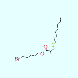 CCCCCCCCSCC(C)C(=O)OCCCCCBr